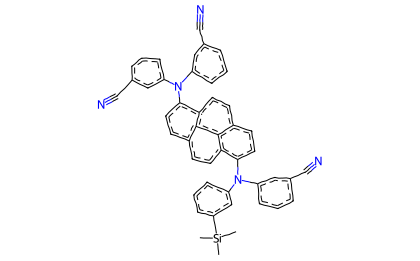 C[Si](C)(C)c1cccc(N(c2cccc(C#N)c2)c2ccc3ccc4c(N(c5cccc(C#N)c5)c5cccc(C#N)c5)ccc5ccc2c3c54)c1